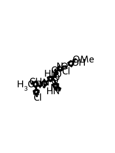 COC[C@]1(O)CC[C@H](COc2ncc(S(=O)(=O)NC(=O)c3ccc(N4CCN(CC5=C(c6ccc(Cl)cc6)CC(C)(C)CC5)CC4)cc3Oc3cnc4[nH]ccc4c3)cc2Cl)CC1